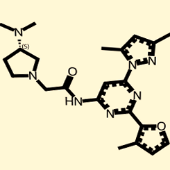 Cc1cc(C)n(-c2cc(NC(=O)CN3CC[C@H](N(C)C)C3)nc(-c3occc3C)n2)n1